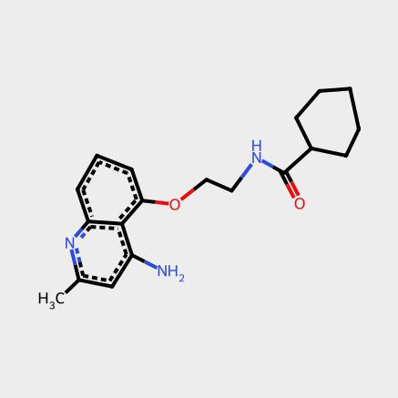 Cc1cc(N)c2c(OCCNC(=O)C3CCCCC3)cccc2n1